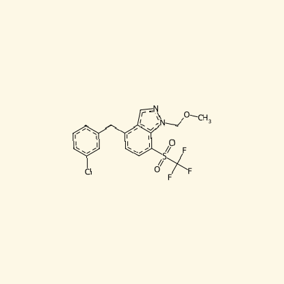 COCn1ncc2c(Cc3cccc(Cl)c3)ccc(S(=O)(=O)C(F)(F)F)c21